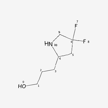 OCCCC1CC(F)(F)CN1